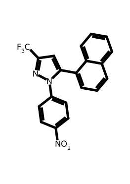 O=[N+]([O-])c1ccc(-n2nc(C(F)(F)F)cc2-c2cccc3ccccc23)cc1